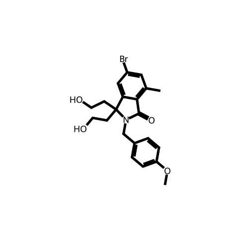 COc1ccc(CN2C(=O)c3c(C)cc(Br)cc3C2(CCO)CCO)cc1